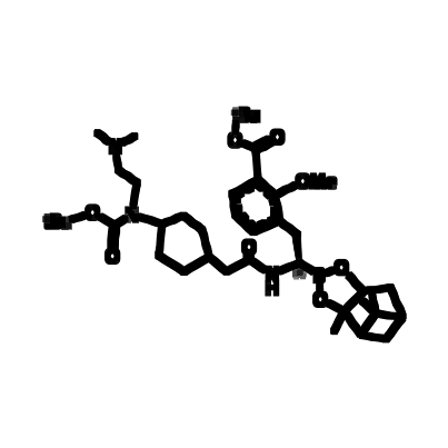 COc1c(C[C@H](NC(=O)CC2CCC(N(CCN(C)C)C(=O)OC(C)(C)C)CC2)B2OC3CC4CC(C4(C)C)C3(C)O2)cccc1C(=O)OC(C)(C)C